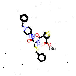 CC(C)(C)OC(=O)c1cscc1C(=O)N[C@@H](CSCC1CCCCC1)C(=O)NC1CCN(Cc2ccccc2)CC1